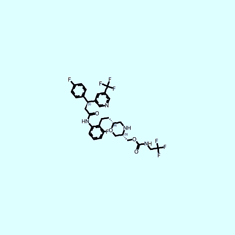 O=C(C[C@@H](c1ccc(F)cc1)c1cncc(C(F)(F)F)c1)Nc1cccc(F)c1CC[C@@H]1CN[C@H](COC(=O)NCC(F)(F)F)CO1